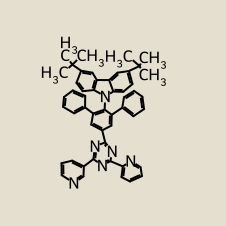 CC(C)(C)c1ccc2c(c1)c1cc(C(C)(C)C)ccc1n2-c1c(-c2ccccc2)cc(-c2nc(-c3cccnc3)nc(-c3ccccn3)n2)cc1-c1ccccc1